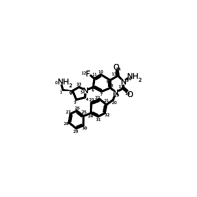 NC[C@@H]1CCN(c2cc3c(cc2F)c(=O)n(N)c(=O)n3Cc2ccc(-c3ccccc3)cc2)C1